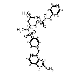 Cc1nc2c(Cc3ccc(S(=O)(=O)N(C)[C@H](COC(=O)NCc4ccncc4)CC(C)C)cc3)nccc2[nH]1